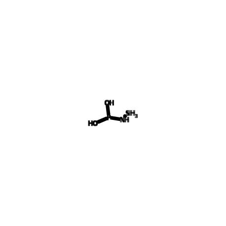 OP(O)N[SiH3]